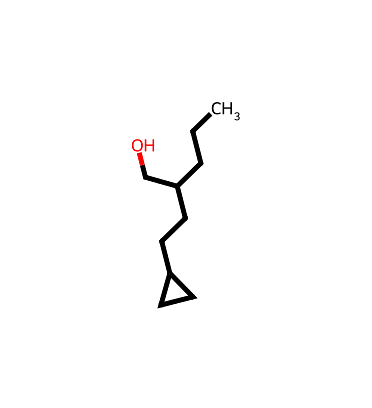 CCCC(CO)CCC1CC1